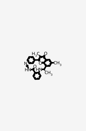 Cc1cc([C@@H](C)Nc2ccccc2C(=O)NC#N)c2oc(-c3ccccc3)c(C)c(=O)c2c1